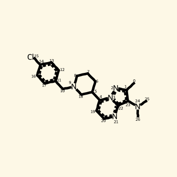 Cc1nn2c(C3CCCN(Cc4ccc(Cl)cc4)C3)ccnc2c1N(C)C